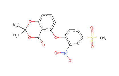 CC1(C)OC(=O)c2c(Oc3ccc(S(C)(=O)=O)cc3[N+](=O)[O-])cccc2O1